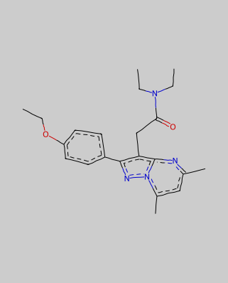 CCOc1ccc(-c2nn3c(C)cc(C)nc3c2CC(=O)N(CC)CC)cc1